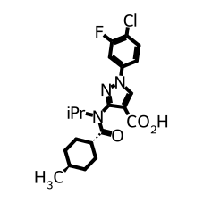 CC(C)N(c1nn(-c2ccc(Cl)c(F)c2)cc1C(=O)O)C(=O)[C@H]1CC[C@H](C)CC1